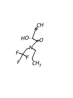 C#C[C@@H](O)C(=O)N(CCC)CC(F)(F)F